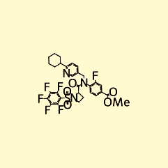 COC(=O)c1ccc(N(Cc2ccc(C3CCCCC3)nc2)C(=O)[C@H]2CCN2S(=O)(=O)c2c(F)c(F)c(F)c(F)c2F)c(F)c1